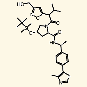 Cc1ncsc1-c1ccc([C@H](C)NC(=O)[C@H]2C[C@@H](O[Si](C)(C)C(C)(C)C)CN2C(=O)C(c2cc(CO)no2)C(C)C)cc1